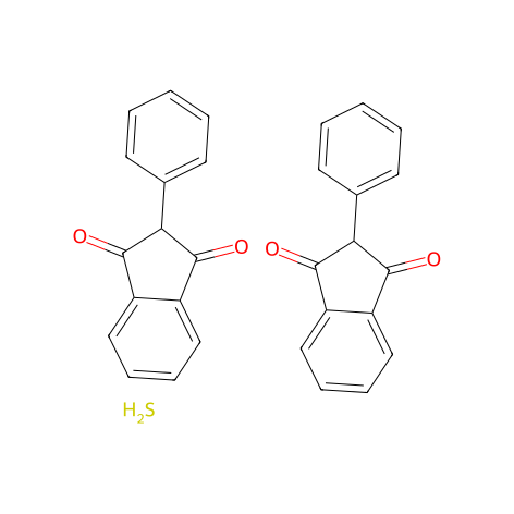 O=C1c2ccccc2C(=O)C1c1ccccc1.O=C1c2ccccc2C(=O)C1c1ccccc1.S